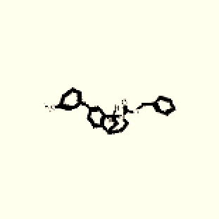 Cc1cccc(-c2ccc3c(c2)[C@H]2CC3CCN2C(=O)OCc2ccccc2)c1